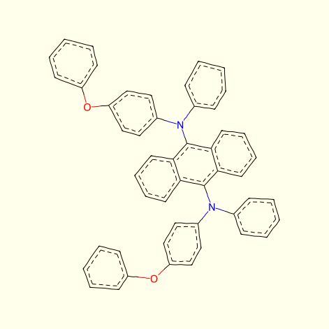 c1ccc(Oc2ccc(N(c3ccccc3)c3c4ccccc4c(N(c4ccccc4)c4ccc(Oc5ccccc5)cc4)c4ccccc34)cc2)cc1